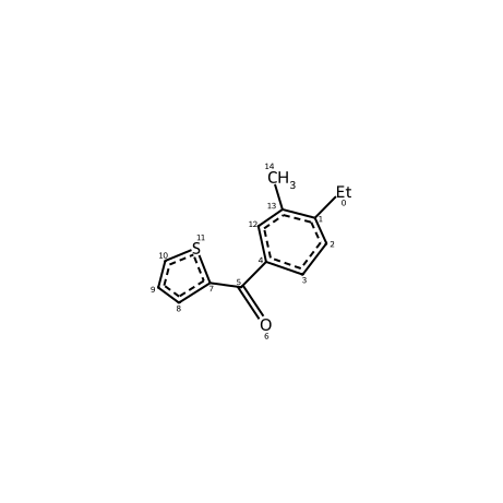 CCc1ccc(C(=O)c2cccs2)cc1C